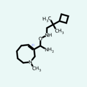 CN1CCCC/C=C(/C(N)ONCC(C)(C)C2CCC2)C1